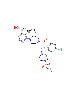 C[C@@H]1C[C@@H](O)c2ncnc(N3CCN(C(=O)[C@@H](CN4CCN(S(C)(=O)=O)CC4)c4ccc(Cl)cc4)CC3)c21